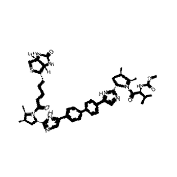 COC(=O)N[C@H](C(=O)N1[C@H](C)[C@H](C)C[C@H]1c1ncc(-c2ccc(-c3ccc(-c4cnc([C@@H]5C[C@@H](C)[C@@H](C)N5C(=O)CCCC[C@@H]5SC[C@@H]6NC(=O)N[C@@H]65)[nH]4)cc3)cc2)[nH]1)C(C)C